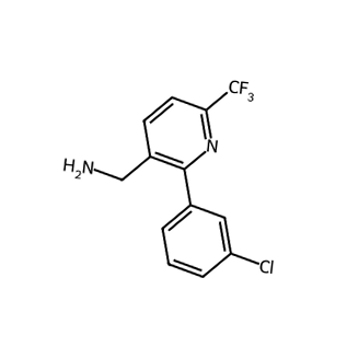 NCc1ccc(C(F)(F)F)nc1-c1cccc(Cl)c1